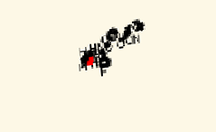 CC1(C)CCN(C(C)(C)C=C(C#N)C(=O)N2CCC[C@H](OC(=O)NC(Cc3ccc(F)cc3)B3O[C@@H]4C[C@@H]5C[C@@H](C5(C)C)[C@]4(C)O3)C2)C1